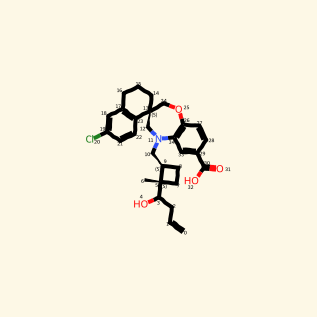 C=CCC(O)[C@@]1(C)CC[C@@H]1CN1C[C@@]2(CCCc3cc(Cl)ccc32)COc2ccc(C(=O)O)cc21